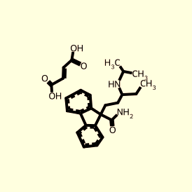 CCC(CCC1(C(N)=O)c2ccccc2-c2ccccc21)NC(C)C.O=C(O)C=CC(=O)O